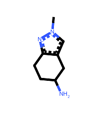 Cn1cc2c(n1)CCC(N)C2